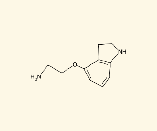 NCCOc1cccc2c1CCN2